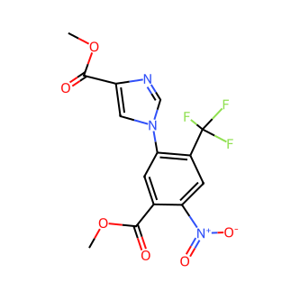 COC(=O)c1cn(-c2cc(C(=O)OC)c([N+](=O)[O-])cc2C(F)(F)F)cn1